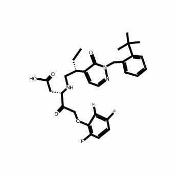 CC[C@@H](CN[C@@H](CC(=O)O)C(=O)COc1c(F)ccc(F)c1F)c1ccnn(Cc2ccccc2C(C)(C)C)c1=O